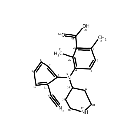 Cc1ccc(N(c2ccccc2C#N)C2CCNCC2)c(C)c1C(=O)O